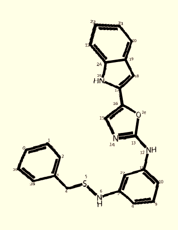 c1ccc(CSNc2cccc(Nc3ncc(-c4cc5ccccc5[nH]4)o3)c2)cc1